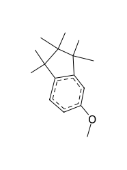 COc1ccc2c(c1)C(C)(C)C(C)(C)C2(C)C